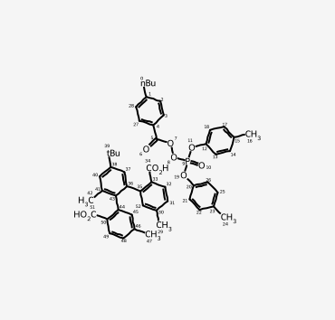 CCCCc1ccc(C(=O)OOP(=O)(Oc2ccc(C)cc2)Oc2ccc(C)cc2)cc1.Cc1ccc(C(=O)O)c(-c2cc(C(C)(C)C)cc(C)c2-c2cc(C)ccc2C(=O)O)c1